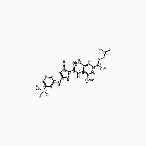 CCCN(CCN(C)C)c1nc(OC)c(NC(=O)C2OC(Oc3cccc([Si](C)(C)CC)c3)=CC2=O)c(OC)n1